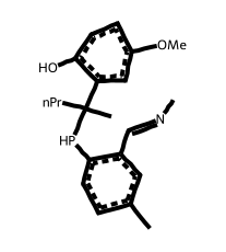 CCCC(C)(Pc1ccc(C)cc1/C=N/C)c1cc(OC)ccc1O